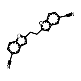 N#Cc1ccc2oc(CCc3cc4cc(C#N)ccc4o3)cc2c1